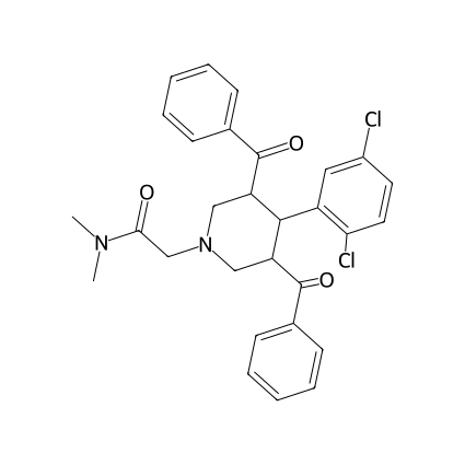 CN(C)C(=O)CN1CC(C(=O)c2ccccc2)C(c2cc(Cl)ccc2Cl)C(C(=O)c2ccccc2)C1